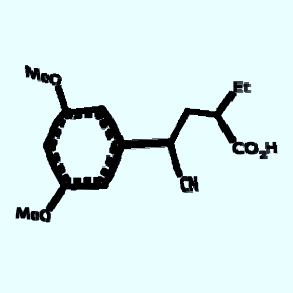 CCC(CC(C#N)c1cc(OC)cc(OC)c1)C(=O)O